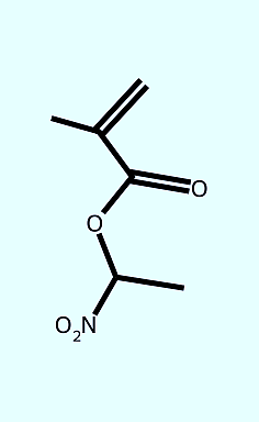 C=C(C)C(=O)OC(C)[N+](=O)[O-]